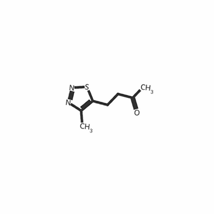 CC(=O)CCc1snnc1C